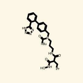 CCCCC(=O)N(CCCNC(=O)C(CC(C)C)C(=O)NO)Cc1ccc(-c2ccccc2-c2nnn[nH]2)cc1